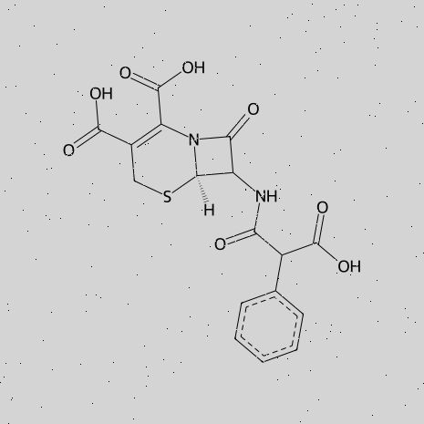 O=C(O)C1=C(C(=O)O)N2C(=O)C(NC(=O)C(C(=O)O)c3ccccc3)[C@H]2SC1